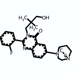 CC(C)(CO)Cn1c(-c2ccccc2F)nc2ccc(N3CCN4CCC3CC4)cc2c1=O